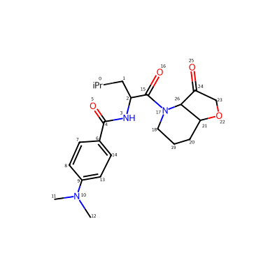 CC(C)CC(NC(=O)c1ccc(N(C)C)cc1)C(=O)N1CCCC2OCC(=O)C21